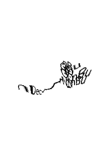 CCCCCCCCCCCCCCCCN1C=CN(CCCC)C1OP(=O)(OCCCC)OCCCC